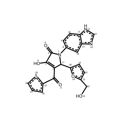 O=C(C1=C(O)C(=O)N(c2ccc3[nH]cnc3c2)C1c1ccc(CO)o1)c1cccs1